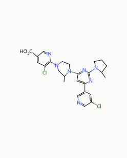 CC1CN(c2ncc(C(=O)O)cc2Cl)CCN1c1cc(-c2cncc(Cl)c2)nc(N2CCCC2C)n1